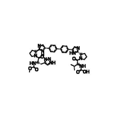 COC(=O)N[C@@H](Cc1c[nH]nn1)C(=O)N1CCC[C@H]1c1ncc(-c2ccc(-c3ccc(-c4cnc([C@@H]5CCCN5C(=O)[C@@H](NC(=O)O)C(C)C)[nH]4)cc3)cc2)[nH]1